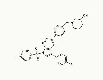 Cc1ccc(S(=O)(=O)n2cc(-c3ccc(F)cc3)c3cc(-c4ccc(CN5CCCC(O)C5)cc4)cnc32)cc1